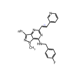 CCCc1nn(C)c2c(NCc3ccc(F)cc3)nc(/C=C/c3cccnc3)nc12